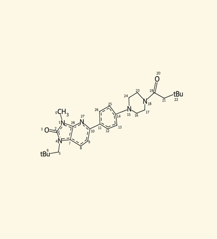 Cn1c(=O)n(CC(C)(C)C)c2ccc(-c3ccc(N4CCN(C(=O)CC(C)(C)C)CC4)cc3)nc21